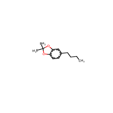 BC1(B)Oc2ccc(CCCC)cc2O1